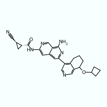 N#C[C@@H]1C[C@H]1C(=O)Nc1cc2cc(-c3cncc4c3CCCC4OC3CCC3)nc(N)c2cn1